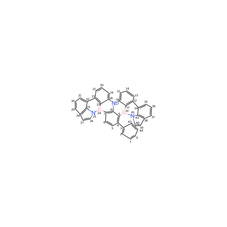 c1ccc(-c2ccc3c4c2B2c5c(cccc5N4c4cccc5c4B3n3ccc4cccc-5c43)-c3cccc4ccn2c34)cc1